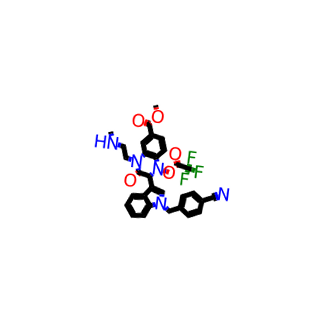 CNCCN1C(=O)C(c2cn(Cc3ccc(C#N)cc3)c3ccccc23)N(OC(=O)C(F)(F)F)c2ccc(C(=O)OC)cc21